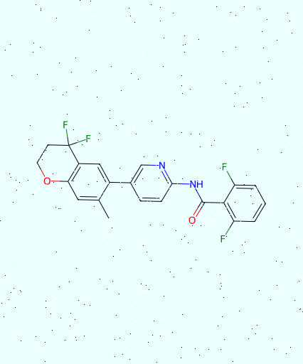 Cc1cc2c(cc1-c1ccc(NC(=O)c3c(F)cccc3F)nc1)C(F)(F)CCO2